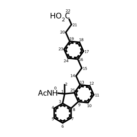 CC(=O)NC1(C)c2ccccc2-c2cccc(CCc3ccc(CCC(=O)O)cc3)c21